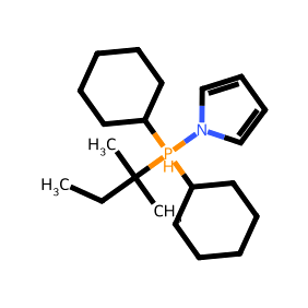 CCC(C)(C)[PH](C1CCCCC1)(C1CCCCC1)n1cccc1